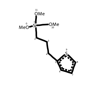 CO[Si](CCCc1cccs1)(OC)OC